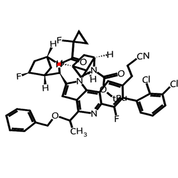 CC(OCc1ccccc1)c1nc2c(F)c(-c3cccc(Cl)c3Cl)c(CCC#N)cc2c2c1cc([C@H]1[C@H]3C[C@H](C[C@@H]3F)N1C(=O)C1(F)CC1)n2[C@H]1[C@@H]2C[C@H]1N(C(=O)OC(C)(C)C)C2